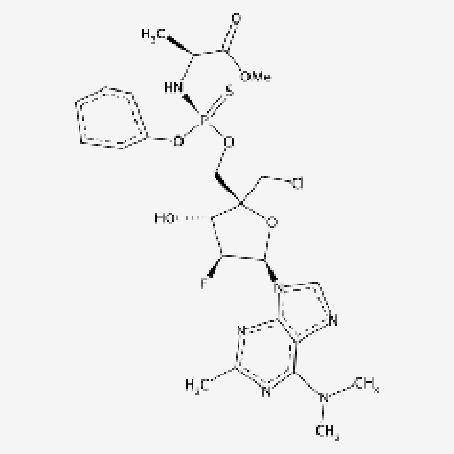 COC(=O)[C@H](C)N[P@@](=S)(OC[C@@]1(CCl)O[C@@H](n2cnc3c(N(C)C)nc(C)nc32)[C@@H](F)[C@@H]1O)Oc1ccccc1